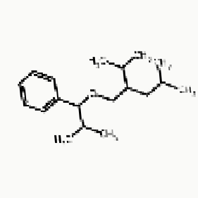 CC(C)CC(COC(c1ccccc1)C(C)C)C(C)C